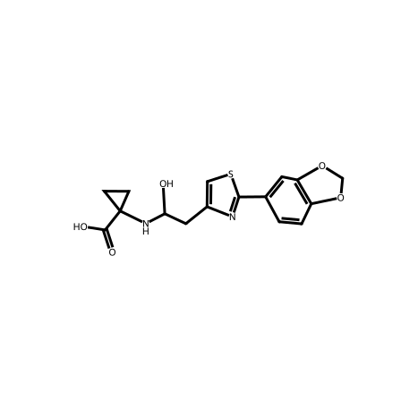 O=C(O)C1(NC(O)Cc2csc(-c3ccc4c(c3)OCO4)n2)CC1